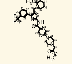 COC(=O)CN1CCN(c2cnc(C(=O)Nc3nc(-c4cccc(C(F)(F)F)c4)c(CN4CCCCC4C)s3)cn2)CC1